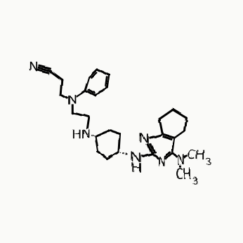 CN(C)c1nc(N[C@H]2CC[C@@H](NCCN(CCC#N)c3ccccc3)CC2)nc2c1CCCC2